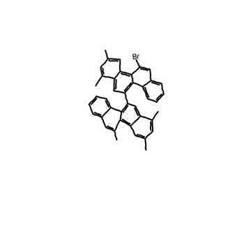 Cc1cc(C)c2cc(-c3cc4c(C)cc(C)cc4c4c(Br)cc5ccccc5c34)c3c4ccccc4cc(C)c3c2c1